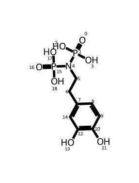 O=P(O)(O)N(CCc1ccc(O)c(O)c1)P(=O)(O)O